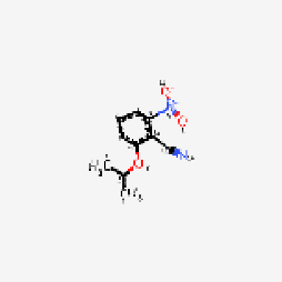 CC(C)Oc1cccc([N+](=O)[O-])c1C#N